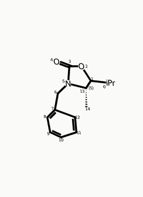 CC(C)C1OC(=O)N(Cc2ccccc2)[C@H]1C